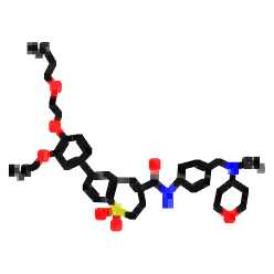 CCCOCCOc1ccc(-c2ccc3c(c2)C=C(C(=O)Nc2ccc(CN(C)C4CCOCC4)cc2)CCS3(=O)=O)cc1OCC